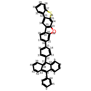 c1ccc(-c2c3ccccc3c(-c3ccc(-c4ccc5c(c4)oc4cc6sc7ccccc7c6cc45)cc3)c3ccccc23)cc1